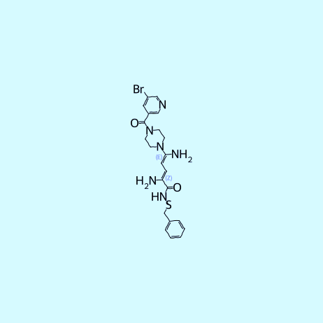 N/C(=C\C=C(/N)N1CCN(C(=O)c2cncc(Br)c2)CC1)C(=O)NSCc1ccccc1